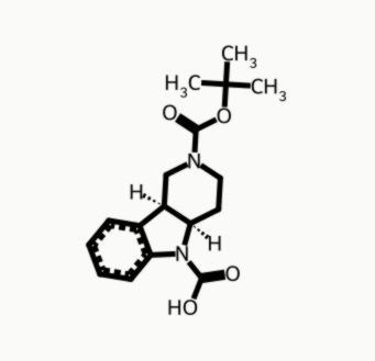 CC(C)(C)OC(=O)N1CC[C@@H]2[C@H](C1)c1ccccc1N2C(=O)O